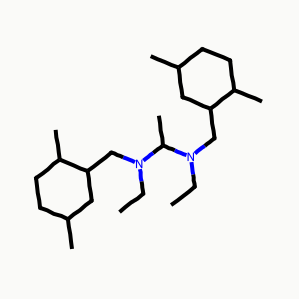 CCN(CC1CC(C)CCC1C)C(C)N(CC)CC1CC(C)CCC1C